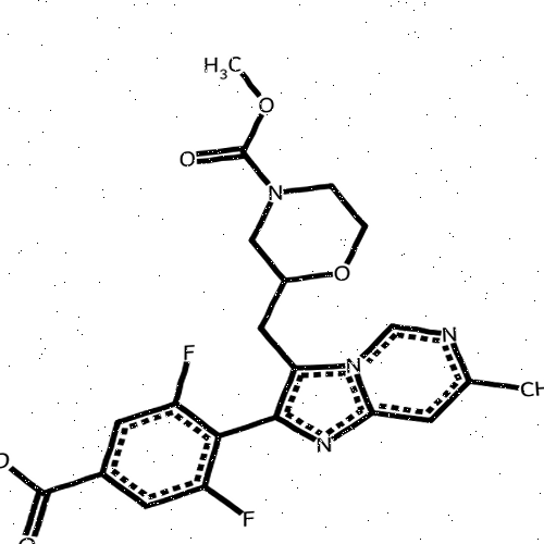 COC(=O)N1CCOC(Cc2c(-c3c(F)cc(C(=O)O)cc3F)nc3cc(C)ncn23)C1